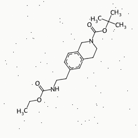 CCOC(=O)NCCc1ccc2c(c1)CCN(C(=O)OC(C)(C)C)C2